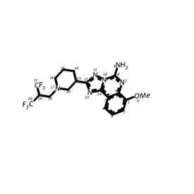 COc1cccc2c1nc(N)n1nc(C3CCCN(CC(C(F)(F)F)C(F)(F)F)C3)nc21